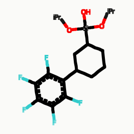 CC(C)O[Si](O)(OC(C)C)C1CCCC(c2c(F)c(F)c(F)c(F)c2F)C1